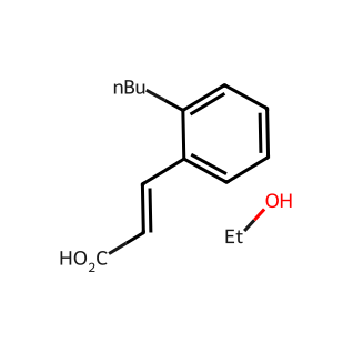 CCCCc1ccccc1/C=C/C(=O)O.CCO